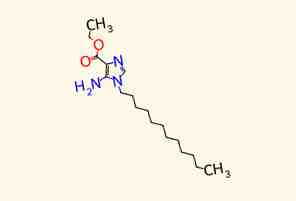 CCCCCCCCCCCCn1cnc(C(=O)OCC)c1N